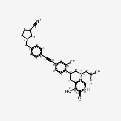 N#CC1CCN(Cc2ccc(C#Cc3ccc(C(CNCC(F)F)Cc4nc[nH]c(=O)c4O)c(F)c3)cc2)C1